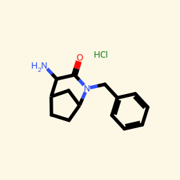 Cl.NC1C(=O)N(Cc2ccccc2)C2CCC1C2